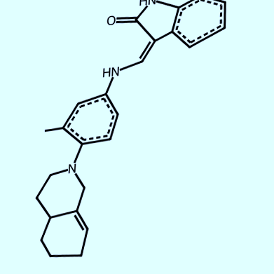 Cc1cc(NC=C2C(=O)Nc3ccccc32)ccc1N1CCC2CCCC=C2C1